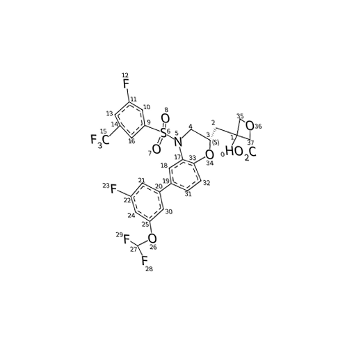 O=C(O)C1(C[C@H]2CN(S(=O)(=O)c3cc(F)cc(C(F)(F)F)c3)c3cc(-c4cc(F)cc(OC(F)F)c4)ccc3O2)COC1